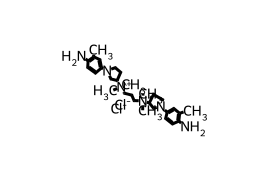 Cc1cc(N2CCC([N+](C)(C)CCC[N+](C)(C)C3CCN(c4ccc(N)c(C)c4)C3)C2)ccc1N.[Cl-].[Cl-]